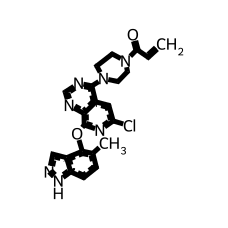 C=CC(=O)N1CCN(c2ncnc3c(Oc4c(C)ccc5[nH]ncc45)nc(Cl)cc23)CC1